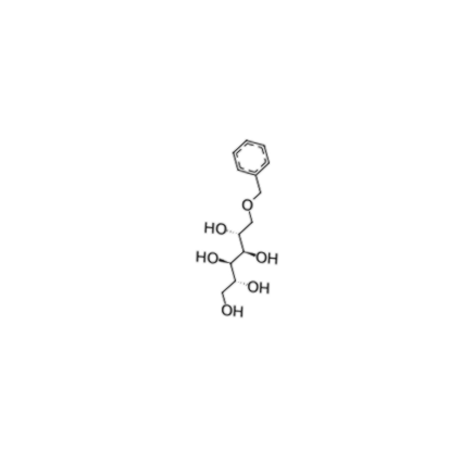 OC[C@@H](O)[C@@H](O)[C@H](O)[C@H](O)COCc1ccccc1